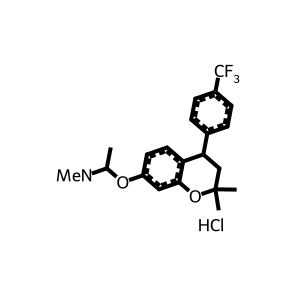 CNC(C)Oc1ccc2c(c1)OC(C)(C)CC2c1ccc(C(F)(F)F)cc1.Cl